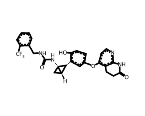 O=C1CCc2c(Oc3ccc(O)c([C@@H]4[C@@H]5C[C@@]45NC(=O)NCc4ccccc4C(F)(F)F)c3)ccnc2N1